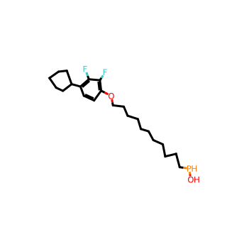 OPCCCCCCCCCCCOc1ccc(C2CCCCC2)c(F)c1F